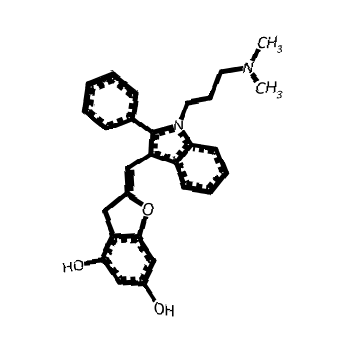 CN(C)CCCn1c(-c2ccccc2)c(C=C2Cc3c(O)cc(O)cc3O2)c2ccccc21